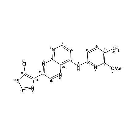 COc1nc(Nc2ccnc3nc(-c4ncsc4Cl)cnc23)ccc1C(F)(F)F